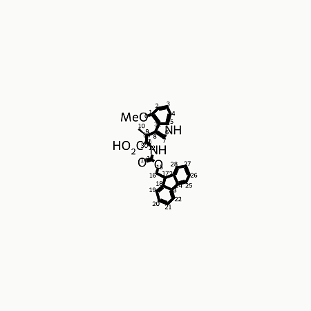 COc1cccc2[nH]cc([C@H](C)[C@H](NC(=O)OCC3c4ccccc4-c4ccccc43)C(=O)O)c12